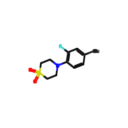 CC(C)(C)c1ccc(N2CCS(=O)(=O)CC2)c(F)c1